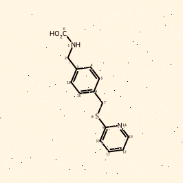 O=C(O)NCc1ccc(CSc2ccccn2)cc1